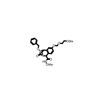 COCCOCOc1ccc2c(c1)C1CN(C(=O)N1OCc1ccccc1)C2C(=O)NOC